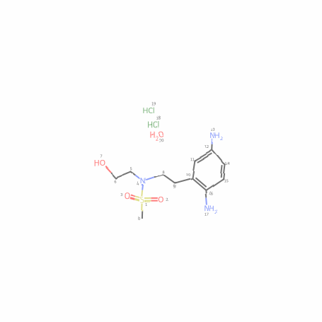 CS(=O)(=O)N(CCO)CCc1cc(N)ccc1N.Cl.Cl.O